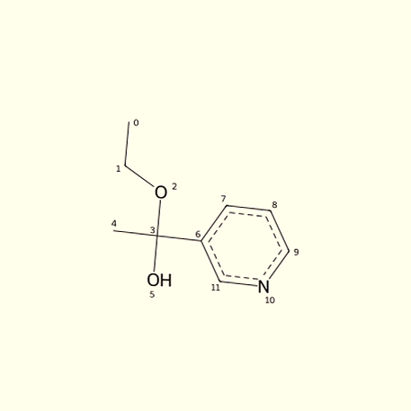 CCOC(C)(O)c1cccnc1